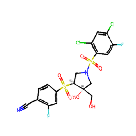 N#Cc1ccc(S(=O)(=O)[C@H]2CN(S(=O)(=O)c3cc(F)c(Cl)cc3Cl)C[C@@]2(O)CO)cc1F